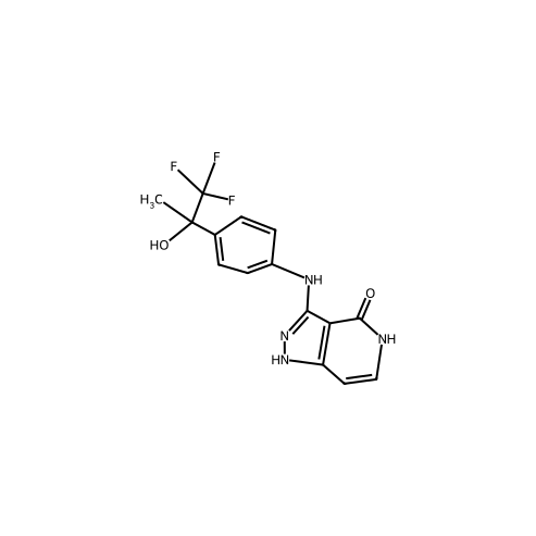 CC(O)(c1ccc(Nc2n[nH]c3cc[nH]c(=O)c23)cc1)C(F)(F)F